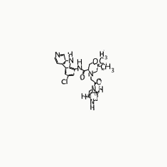 CC1(C)CN(CC(=O)N2C[C@@H]3C[C@H]2CN3)C(C(=O)Nc2cc(Cl)cc3c2[nH]c2cnccc23)CO1